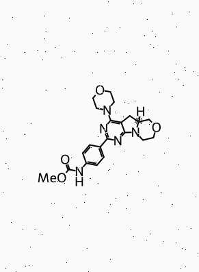 COC(=O)Nc1ccc(-c2nc(N3CCOCC3)c3c(n2)N2CCOC[C@H]2C3)cc1